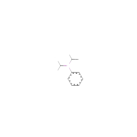 CCC(CC)P(c1ccccc1)C(CC)CC